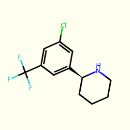 FC(F)(F)c1cc(Cl)cc([C@@H]2CCCCN2)c1